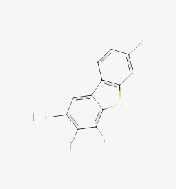 FC(F)(F)c1cc2c(sc3cc(I)ccc32)c(C(F)(F)F)c1Cl